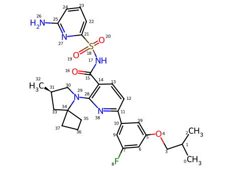 CC(C)COc1cc(F)cc(-c2ccc(C(=O)NS(=O)(=O)c3cccc(N)n3)c(N3C[C@H](C)CC34CCC4)n2)c1